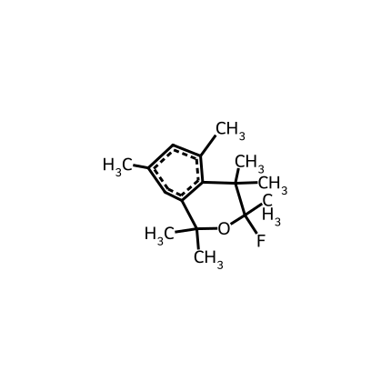 Cc1cc(C)c2c(c1)C(C)(C)OC(C)(F)C2(C)C